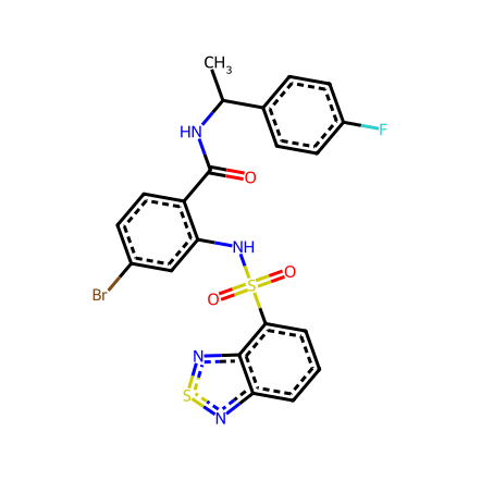 CC(NC(=O)c1ccc(Br)cc1NS(=O)(=O)c1cccc2nsnc12)c1ccc(F)cc1